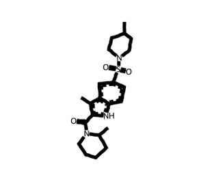 Cc1c(C(=O)N2CCCCC2C)[nH]c2ccc(S(=O)(=O)N3CCC(C)CC3)cc12